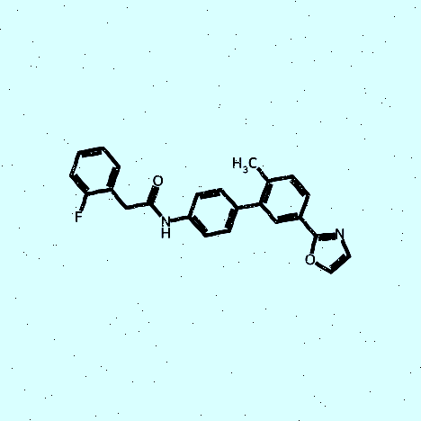 Cc1ccc(-c2ncco2)cc1-c1ccc(NC(=O)Cc2ccccc2F)cc1